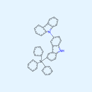 c1ccc([Si](c2ccccc2)(c2ccccc2)c2ccc3[nH]c4ccc(-n5c6ccccc6c6ccccc65)cc4c3c2)cc1